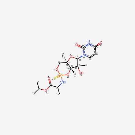 CC(C)OC(=O)C(C)NP1(=S)OC[C@H]2O[C@@H](n3ccc(=O)[nH]c3=O)[C@](C)(O)[C@@H]2O1